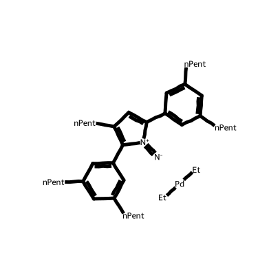 CCCCCC1=C(c2cc(CCCCC)cc(CCCCC)c2)[N+](=[N-])C(c2cc(CCCCC)cc(CCCCC)c2)=C1.C[CH2][Pd][CH2]C